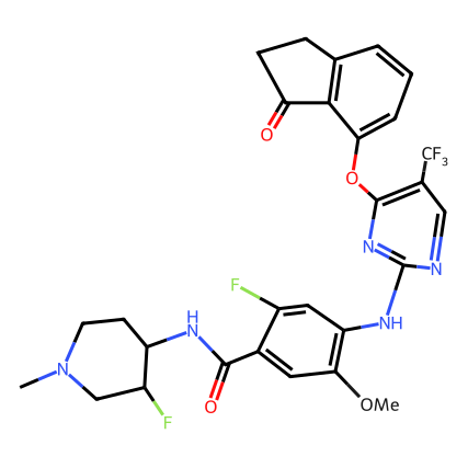 COc1cc(C(=O)NC2CCN(C)CC2F)c(F)cc1Nc1ncc(C(F)(F)F)c(Oc2cccc3c2C(=O)CC3)n1